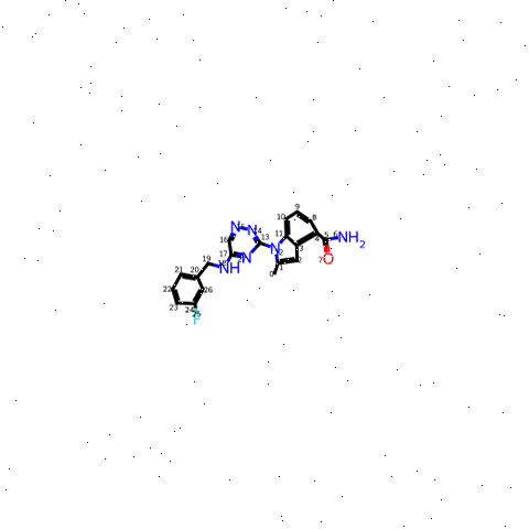 Cc1cc2c(C(N)=O)cccc2n1-c1nncc(NCc2cccc(F)c2)n1